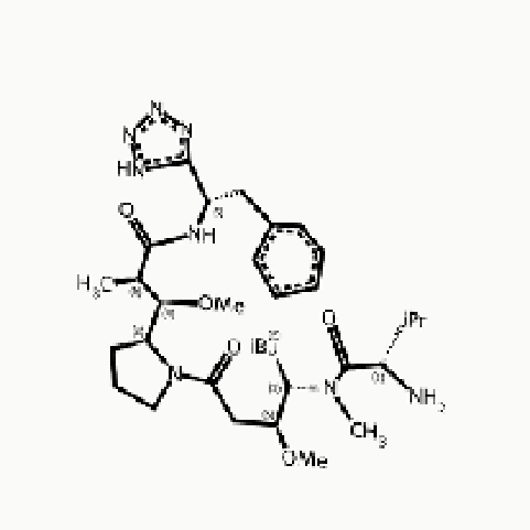 CC[C@H](C)[C@@H]([C@H](CC(=O)N1CCC[C@H]1[C@H](OC)[C@@H](C)C(=O)N[C@@H](Cc1ccccc1)c1nnn[nH]1)OC)N(C)C(=O)[C@@H](N)C(C)C